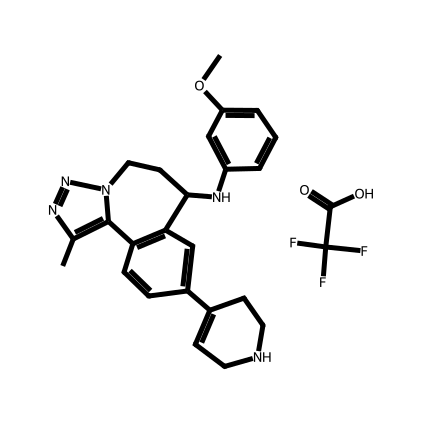 COc1cccc(NC2CCn3nnc(C)c3-c3ccc(C4=CCNCC4)cc32)c1.O=C(O)C(F)(F)F